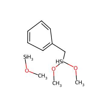 CO[SiH3].CO[SiH](Cc1ccccc1)OC